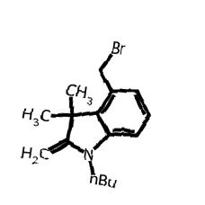 C=C1N(CCCC)c2cccc(CBr)c2C1(C)C